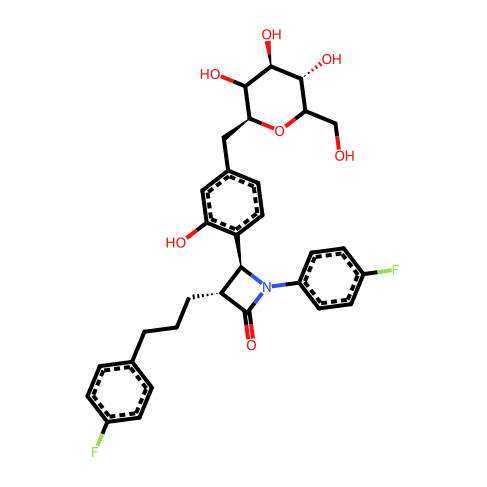 O=C1[C@H](CCCc2ccc(F)cc2)[C@@H](c2ccc(C[C@@H]3OC(CO)[C@@H](O)[C@H](O)C3O)cc2O)N1c1ccc(F)cc1